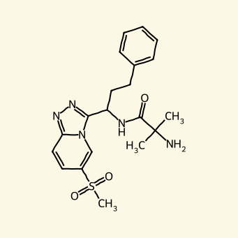 CC(C)(N)C(=O)NC(CCc1ccccc1)c1nnc2ccc(S(C)(=O)=O)cn12